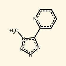 [CH2]n1nnnc1-c1ccccn1